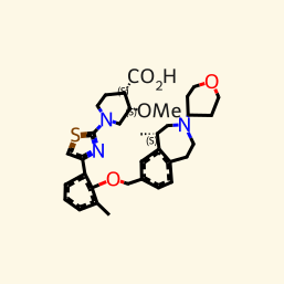 CO[C@@H]1CN(c2nc(-c3cccc(C)c3OCc3ccc4c(c3)[C@H](C)CN(C3CCOCC3)CC4)cs2)CC[C@@H]1C(=O)O